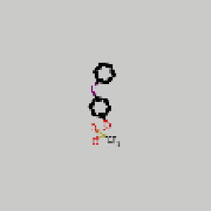 O=S(=O)(Oc1ccc([I+]c2ccccc2)cc1)C(F)(F)F